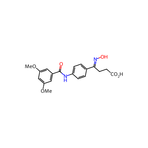 COc1cc(OC)cc(C(=O)Nc2ccc(C(CCC(=O)O)=NO)cc2)c1